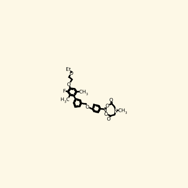 CCOCCOc1cc(C)c(-c2cccc(COc3ccc(B4OC(=O)CN(C)CC(=O)O4)cc3)c2)c(C)c1F